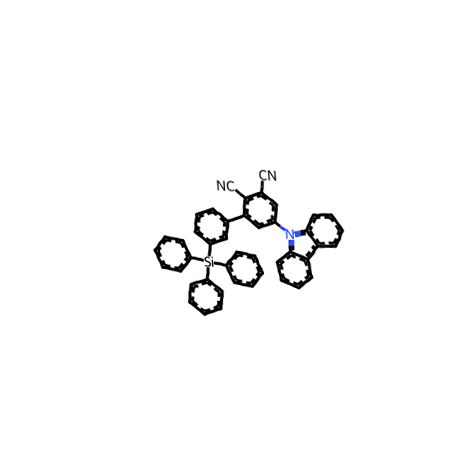 N#Cc1cc(-n2c3ccccc3c3ccccc32)cc(-c2cccc([Si](c3ccccc3)(c3ccccc3)c3ccccc3)c2)c1C#N